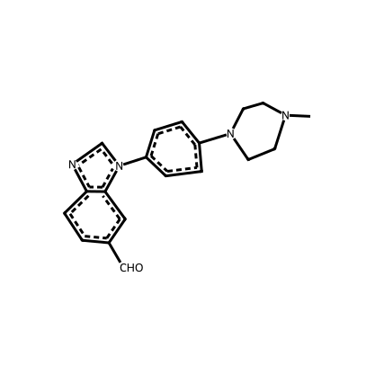 CN1CCN(c2ccc(-n3cnc4ccc(C=O)cc43)cc2)CC1